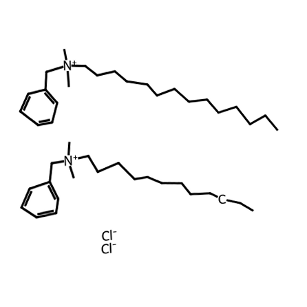 CCCCCCCCCCCCCC[N+](C)(C)Cc1ccccc1.CCCCCCCCCCCC[N+](C)(C)Cc1ccccc1.[Cl-].[Cl-]